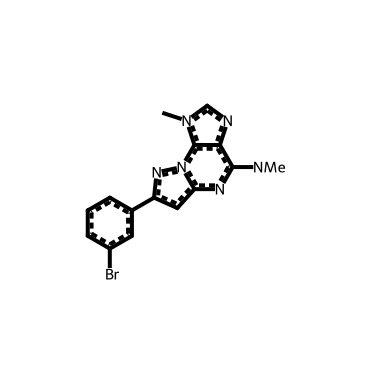 CNc1nc2cc(-c3cccc(Br)c3)nn2c2c1ncn2C